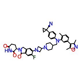 Cc1ccc(-c2c(C)noc2C)cc1N(CC1CCN(C2CN(c3cc4c(cc3F)C(=O)N(C3CCC(=O)NC3=O)C4)C2)CC1)c1ccc(C2(C#N)CC2)cc1